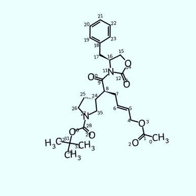 CC(=O)OC/C=C/C[C@H](C(=O)N1C(=O)OC[C@@H]1Cc1ccccc1)[C@H]1CCN(C(=O)OC(C)(C)C)C1